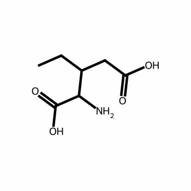 CCC(CC(=O)O)C(N)C(=O)O